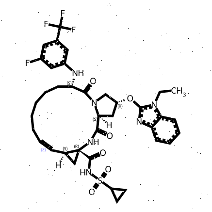 CCn1c(O[C@@H]2C[C@H]3C(=O)N[C@]4(C(=O)NS(=O)(=O)C5CC5)C[C@H]4/C=C\CCCCC[C@H](Nc4cc(F)cc(C(F)(F)F)c4)C(=O)N3C2)nc2ccccc21